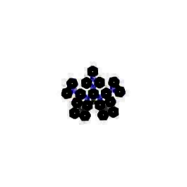 c1ccc(N2c3ccccc3N(c3cc4c5c(c3)N(c3ccc(-n6c7ccccc7c7ccccc76)cc3)c3cc([Si](c6ccccc6)(c6ccccc6)c6ccccc6)ccc3B5c3ccc([Si](c5ccccc5)(c5ccccc5)c5ccccc5)cc3N4c3ccc(-n4c5ccccc5c5ccccc54)cc3)c3ccccc32)cc1